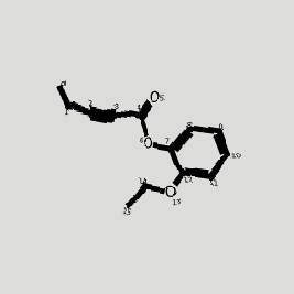 CCC#CC(=O)Oc1ccccc1OCC